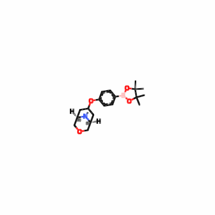 CN1[C@@H]2COC[C@H]1CC(Oc1ccc(B3OC(C)(C)C(C)(C)O3)cc1)C2